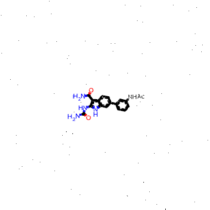 CC(=O)Nc1cccc(-c2ccc3c(C(N)=O)c(NC(N)=O)[nH]c3c2)c1